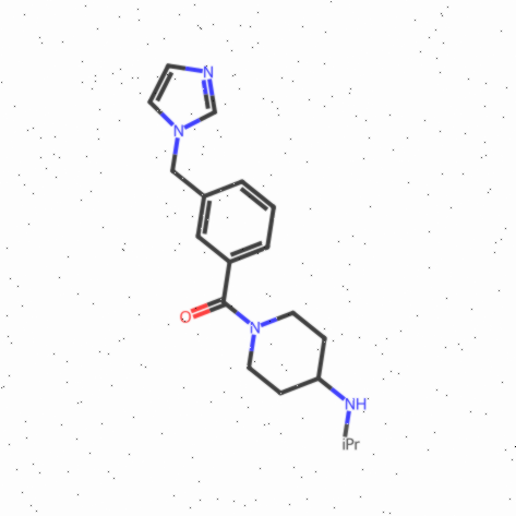 CC(C)NC1CCN(C(=O)c2cccc(Cn3ccnc3)c2)CC1